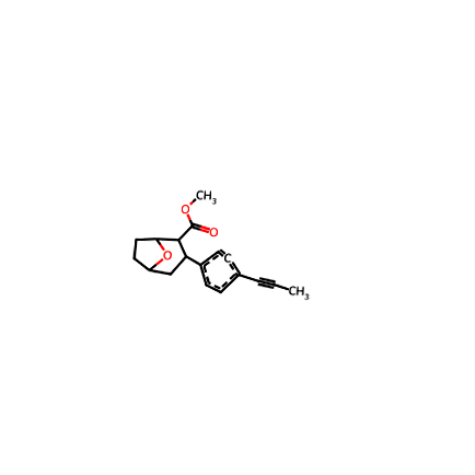 CC#Cc1ccc(C2CC3CCC(O3)C2C(=O)OC)cc1